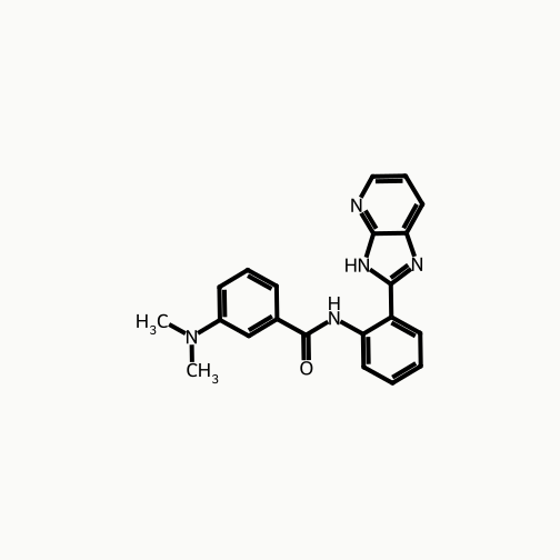 CN(C)c1cccc(C(=O)Nc2ccccc2-c2nc3cccnc3[nH]2)c1